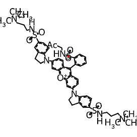 CC(=O)CNS(=O)(=O)c1ccccc1-c1c2ccc(N3CCc4cc(S(=O)(=O)NCCC[N+](C)(C)C)ccc43)cc2[o+]c2cc(N3CCc4cc(S(=O)(=O)NCCC[N+](C)(C)C)ccc43)ccc12